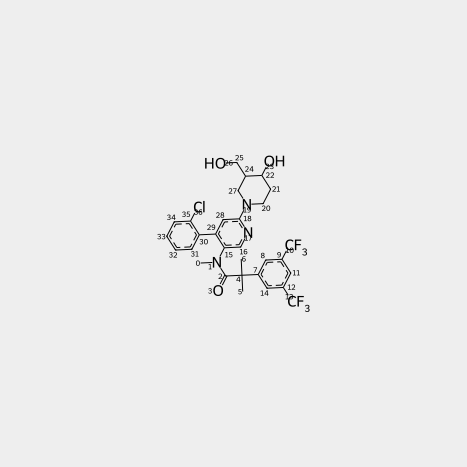 CN(C(=O)C(C)(C)c1cc(C(F)(F)F)cc(C(F)(F)F)c1)c1cnc(N2CCC(O)C(CO)C2)cc1-c1ccccc1Cl